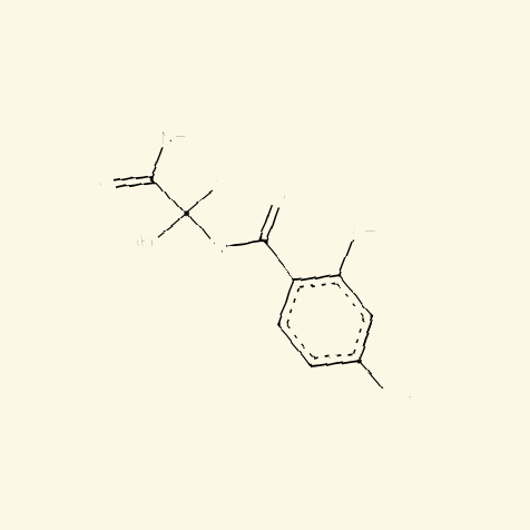 Cc1cc(C(=O)O)ccc1C(=O)NC(C)(C(N)=O)C(C)C